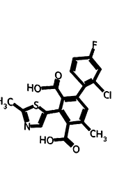 Cc1ncc(-c2c(C(=O)O)c(C)cc(-c3ccc(F)cc3Cl)c2C(=O)O)s1